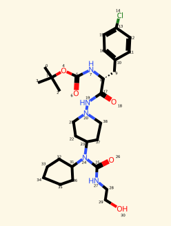 CC(C)(C)OC(=O)N[C@H](Cc1ccc(Cl)cc1)C(=O)NN1CCC(N(C(=O)NCCO)C2CCCCC2)CC1